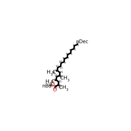 CCCCCCCCCCCCCCCCCCCCCCC(C)CC(C)CC(C)CC(C)C(=O)OCCCC